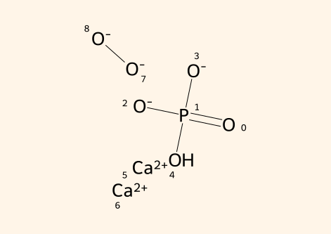 O=P([O-])([O-])O.[Ca+2].[Ca+2].[O-][O-]